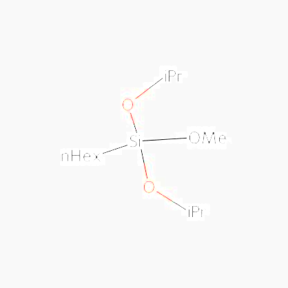 CCCCCC[Si](OC)(OC(C)C)OC(C)C